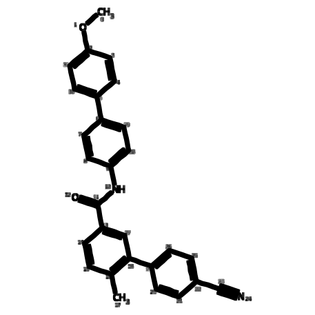 COc1ccc(-c2ccc(NC(=O)c3ccc(C)c(-c4ccc(C#N)cc4)c3)cc2)cc1